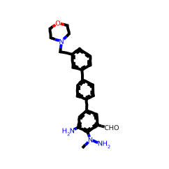 CN(N)c1c(N)cc(-c2ccc(-c3cccc(CN4CCOCC4)c3)cc2)cc1C=O